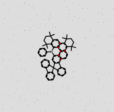 CC1(C)CCC(C)(C)c2cc(-c3cc4c(cc3N(c3ccccc3)c3c(-c5ccccc5)ccc5c3C(C)(C)CCC5(C)C)C3(c5ccccc5-c5ccccc53)c3ccccc3-4)ccc21